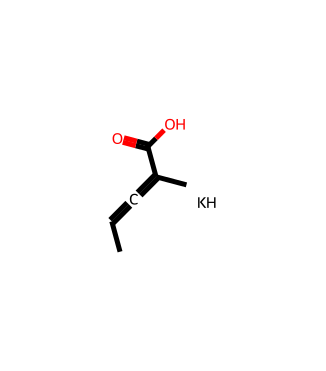 CC=C=C(C)C(=O)O.[KH]